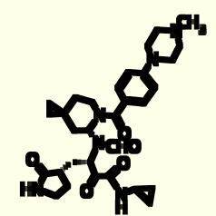 CN1CCN(c2ccc(C(=O)N3CCC4(CC4)C[C@H]3N(C=O)[C@@H](C[C@@H]3CCNC3=O)C(=O)C(=O)NC3CC3)cc2)CC1